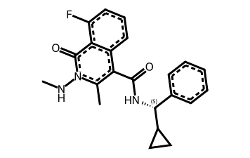 CNn1c(C)c(C(=O)N[C@H](c2ccccc2)C2CC2)c2cccc(F)c2c1=O